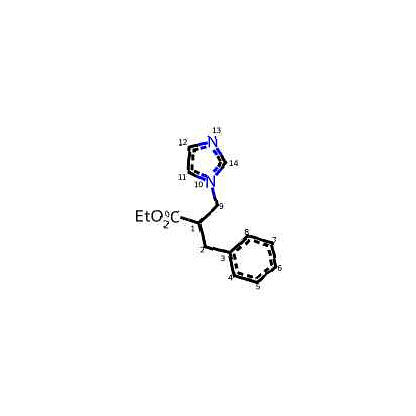 CCOC(=O)C(Cc1ccccc1)Cn1ccnc1